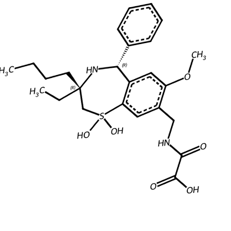 CCCC[C@]1(CC)CS(O)(O)c2cc(CNC(=O)C(=O)O)c(OC)cc2[C@@H](c2ccccc2)N1